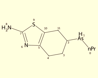 CCC[AsH]C1CCc2nc(N)sc2C1